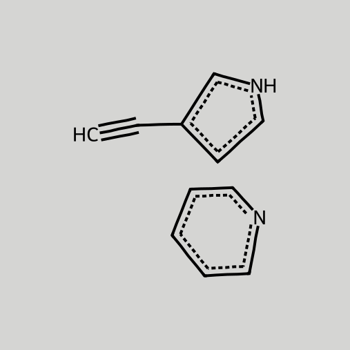 C#Cc1cc[nH]c1.c1ccncc1